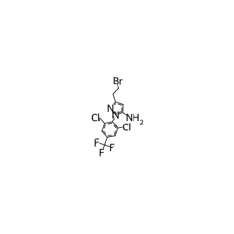 Nc1cc(CCBr)nn1-c1c(Cl)cc(C(F)(F)F)cc1Cl